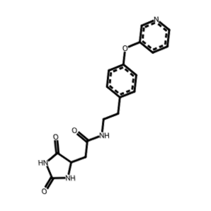 O=C(CC1NC(=O)NC1=O)NCCc1ccc(Oc2cccnc2)cc1